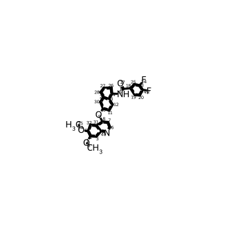 COc1cc2nccc(Oc3ccc4c(NC(=O)c5ccc(F)c(F)c5)cccc4c3)c2cc1OC